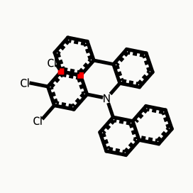 Clc1cc(N(c2ccccc2-c2ccccc2)c2cccc3ccccc23)cc(Cl)c1Cl